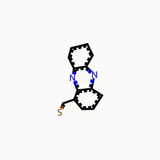 S=Cc1cccc2nc3ccccc3nc12